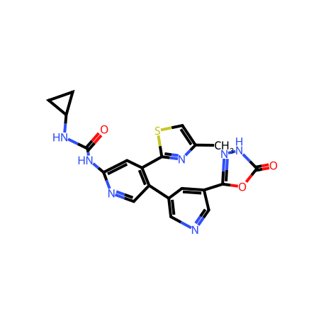 Cc1csc(-c2cc(NC(=O)NC3CC3)ncc2-c2cncc(-c3n[nH]c(=O)o3)c2)n1